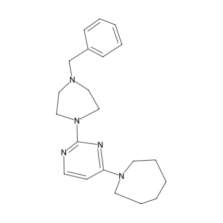 c1ccc(CN2CCN(c3nccc(N4CCCCCC4)n3)CC2)cc1